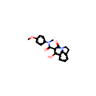 COc1ccc(N(C)C(=O)c2c(O)c3cccc4c3n(c2=O)CC4)cc1